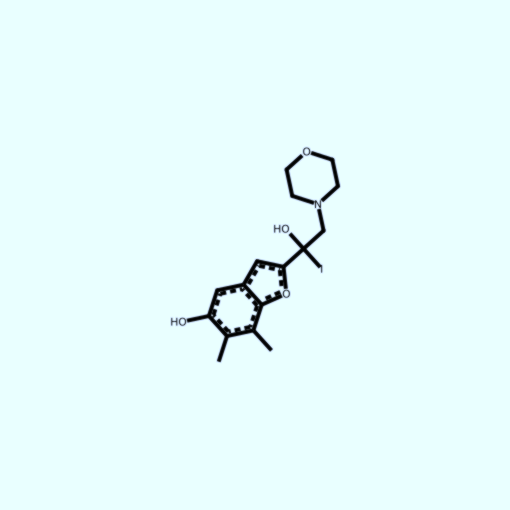 Cc1c(O)cc2cc(C(O)(I)CN3CCOCC3)oc2c1C